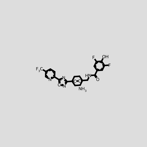 N.O=C(NCC12CCC(c3noc(-c4ccc(C(F)(F)F)cn4)n3)(CC1)CC2)c1cc(F)c(O)c(F)c1